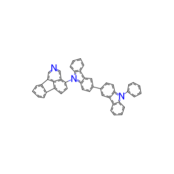 c1ccc(-n2c3ccccc3c3cc(-c4ccc5c(c4)c4ccccc4n5-c4ccc5c6c(cncc46)-c4ccccc4-5)ccc32)cc1